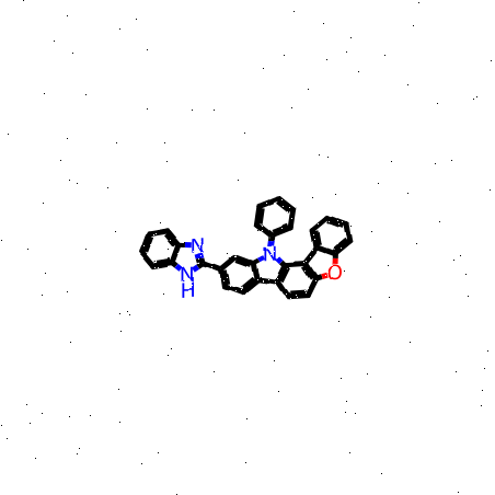 c1ccc(-n2c3cc(-c4nc5ccccc5[nH]4)ccc3c3ccc4oc5ccccc5c4c32)cc1